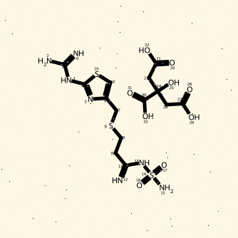 N=C(N)Nc1nc(CSCCC(=N)NS(N)(=O)=O)cs1.O=C(O)CC(O)(CC(=O)O)C(=O)O